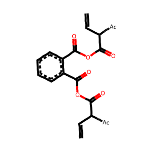 C=CC(C(C)=O)C(=O)OC(=O)c1ccccc1C(=O)OC(=O)C(C=C)C(C)=O